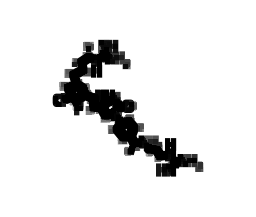 C[C@H](NCCCNC(=N)N)c1ccc(-n2cc3cc(-c4cc(CCC[C@H](C)NC(=N)N)cc(Cl)c4F)[nH]c3nc2=O)cc1